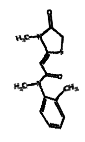 Cc1ccccc1N(C)C(=O)/C=C1\SCC(=O)N1C